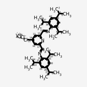 CC(C)c1cc(C(C)C)c(N=Cc2cc(Cl)cc(C=Nc3c(C(C)C)cc(C(C)C)cc3C(C)C)n2)c(C(C)C)c1.[Cl-].[Cl-].[V+2]